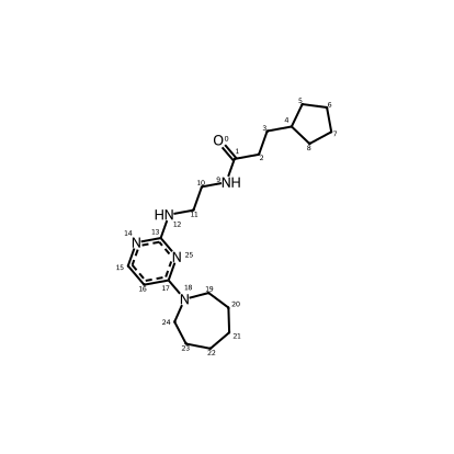 O=C(CCC1CCCC1)NCCNc1nccc(N2CCCCCC2)n1